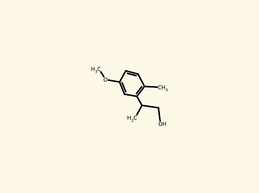 [CH2]C(CO)c1cc(OC)ccc1C